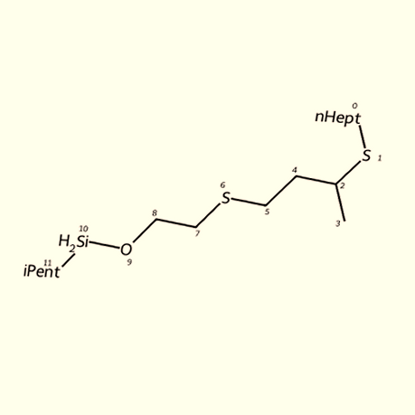 CCCCCCCSC(C)CCSCCO[SiH2]C(C)CCC